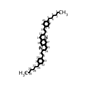 CCCCCCc1ccc(/C=C/c2ccc3cc4nc(/C=C/c5ccc(CCCCCC)cc5)ccc4cc3n2)cc1